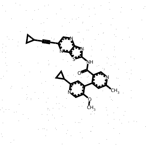 COc1cnc(C2CC2)cc1-c1cc(C)ncc1C(=O)Nc1nc2ncc(C#CC3CC3)nc2s1